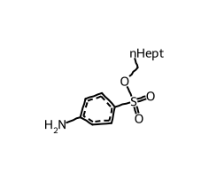 CCCCCCCCOS(=O)(=O)c1ccc(N)cc1